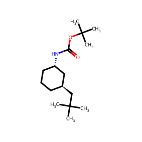 CC(C)(C)C[C@H]1CCC[C@H](NC(=O)OC(C)(C)C)C1